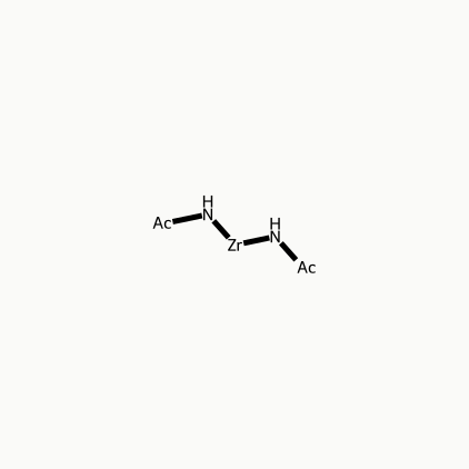 CC(=O)[NH][Zr][NH]C(C)=O